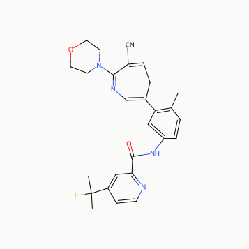 Cc1ccc(NC(=O)c2cc(C(C)(C)F)ccn2)cc1C1=CN=C(N2CCOCC2)C(C#N)=CC1